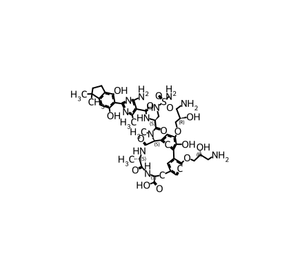 Cc1nc(-c2c(O)cc3c(c2O)CCC3(C)C)nc(N)c1C(=O)N[C@@H](CNS(N)(=O)=O)C(=O)N(C)[C@@H]1C(=O)N[C@@H](C)C(=O)N[C@H](C(=O)O)Cc2ccc(OC[C@H](O)CN)c(c2)-c2cc1cc(OC[C@H](O)CN)c2O